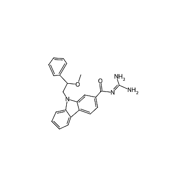 COC(Cn1c2ccccc2c2ccc(C(=O)N=C(N)N)cc21)c1ccccc1